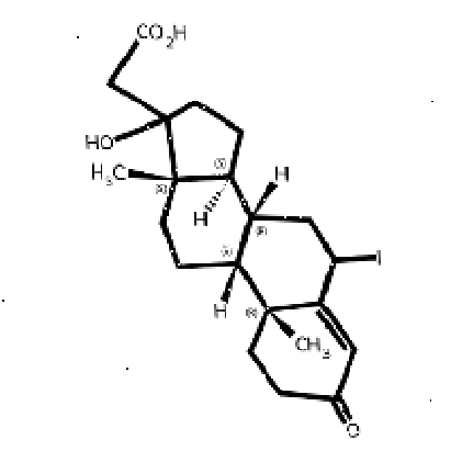 C[C@]12CCC(=O)C=C1C(I)C[C@@H]1[C@H]2CC[C@@]2(C)[C@H]1CCC2(O)CC(=O)O